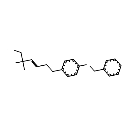 CCOC(=O)CC(C)(O)/C=C/CCc1ccc(OCc2ccccc2)cc1